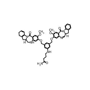 COc1cc2c(cc1OCc1cc(COc3cc4c(cc3OC)C(=O)N3C5=C(CCC=C5)C[C@H]3CN4)cc(NCCCC(N)=O)c1)N=C[C@@H]1Cc3ccccc3N1C2=O